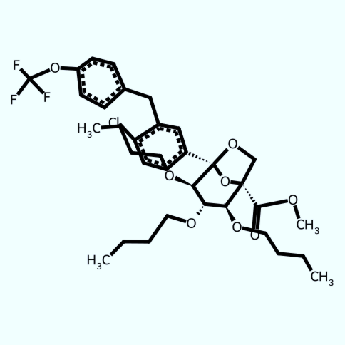 CCCCO[C@@H]1[C@@H](OCCCC)[C@@]2(c3ccc(Cl)c(Cc4ccc(OC(F)(F)F)cc4)c3)OC[C@](C(=O)OC)(O2)[C@H]1OCCCC